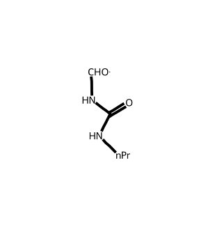 CCCNC(=O)N[C]=O